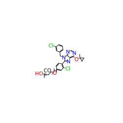 CC1(Oc2ncnc3c2nc(-c2ccc(OCC[C@@](C)(O)C(=O)O)cc2Cl)n3Cc2cccc(Cl)c2)CC1